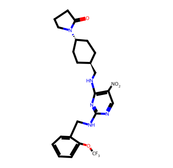 O=C1CCCN1[C@H]1CC[C@H](CNc2nc(NCc3ccccc3OC(F)(F)F)ncc2[N+](=O)[O-])CC1